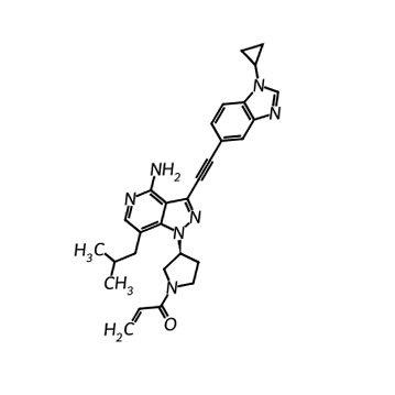 C=CC(=O)N1CC[C@H](n2nc(C#Cc3ccc4c(c3)ncn4C3CC3)c3c(N)ncc(CC(C)C)c32)C1